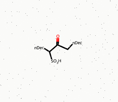 CCCCCCCCCCCC(=O)C(CCCCCCCCCC)S(=O)(=O)O